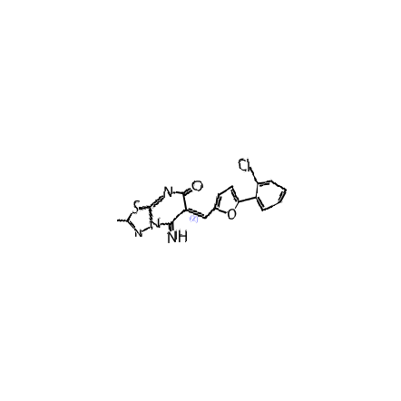 CC1=NN2C(=N)/C(=C/c3ccc(-c4ccccc4Cl)o3)C(=O)N=C2S1